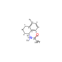 Cc1cccc2c1CCCC2N(C)C(=O)C(C)C